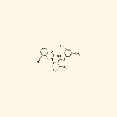 Cc1cc(C)cc(Oc2[nH]c(=O)n(Cc3ccccc3C#N)c(=O)c2C(C)C)c1